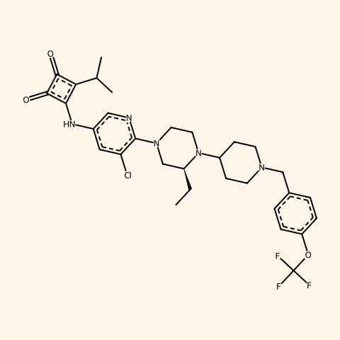 CC[C@H]1CN(c2ncc(Nc3c(C(C)C)c(=O)c3=O)cc2Cl)CCN1C1CCN(Cc2ccc(OC(F)(F)F)cc2)CC1